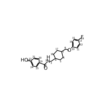 O=C(NCC1CCC(COc2ccc(F)cc2)CC1)c1ccc(O)cc1